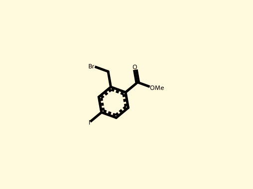 COC(=O)c1ccc(I)cc1CBr